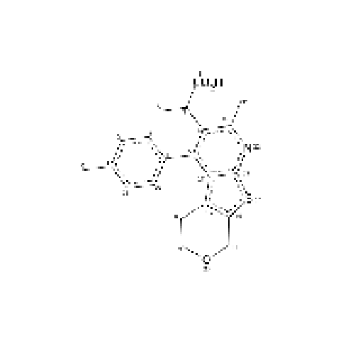 Cc1ccc(-c2c(C(C)C(=O)O)c(C)nc3sc4c(c23)CCOC4)cc1